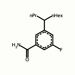 CCCCCCC(CCC)c1cc(F)cc(C(N)=O)c1